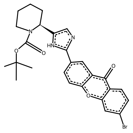 CC(C)(C)OC(=O)N1CCCC[C@H]1c1cnc(-c2ccc3oc4cc(Br)ccc4c(=O)c3c2)[nH]1